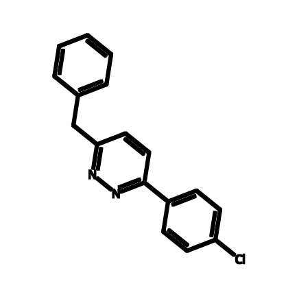 Clc1ccc(-c2ccc(Cc3ccccc3)nn2)cc1